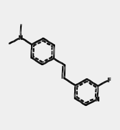 CN(C)c1ccc(/C=C/c2ccnc(F)c2)cc1